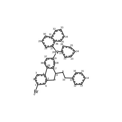 Brc1ccc2c(c1)CC(CCc1ccccc1)c1cc(N(c3ccccc3)c3cccc4ccccc34)ccc1-2